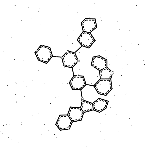 c1ccc(-c2nc(-c3ccc(-n4c5ccccc5c5cc6ccccc6cc54)c(-c4cccc5oc6ccccc6c45)c3)nc(-c3ccc4ccccc4c3)n2)cc1